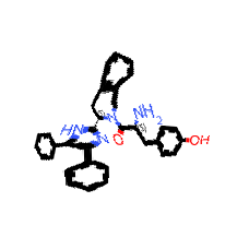 N[C@@H](Cc1ccc(O)cc1)C(=O)N1Cc2ccccc2C[C@H]1c1nc(-c2ccccc2)c(-c2ccccc2)[nH]1